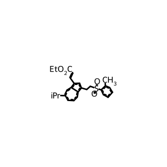 CCOC(=O)C=Cc1cc(CCS(=O)(=O)c2ccccc2C)c2cccc(C(C)C)cc1-2